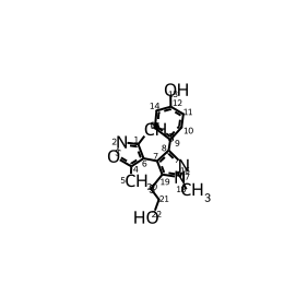 Cc1noc(C)c1-c1c(-c2ccc(O)cc2)nn(C)c1CCO